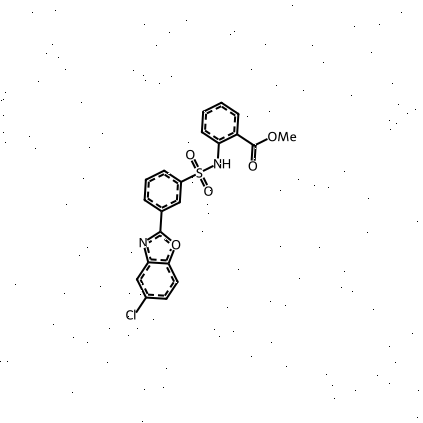 COC(=O)c1ccccc1NS(=O)(=O)c1cccc(-c2nc3cc(Cl)ccc3o2)c1